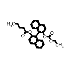 CCCCC(=O)Oc1ccc2ccccc2c1-c1c(OC(=O)OCC)ccc2ccccc12